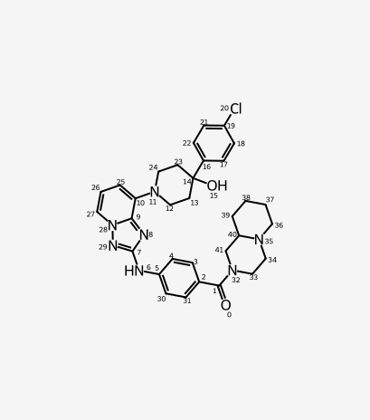 O=C(c1ccc(Nc2nc3c(N4CCC(O)(c5ccc(Cl)cc5)CC4)cccn3n2)cc1)N1CCN2CCCCC2C1